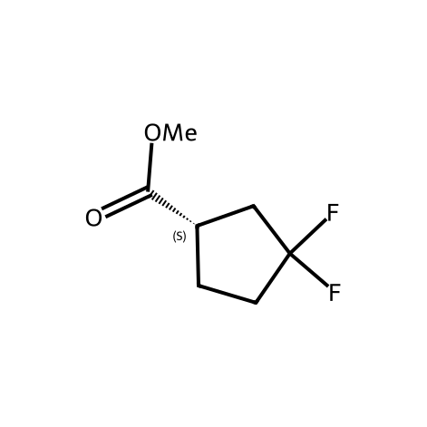 COC(=O)[C@H]1CCC(F)(F)C1